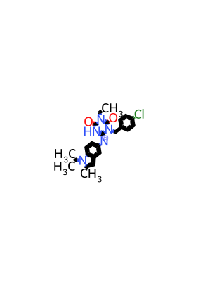 CCn1c(=O)[nH]/c(=N\c2ccc3c(c2)cc(C)n3C(C)C)n(Cc2ccc(Cl)cc2)c1=O